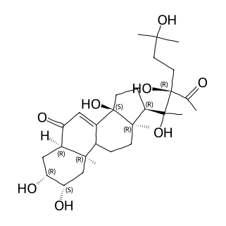 CC(=O)[C@@](O)(CCC(C)(C)O)C(C)(O)[C@@H]1CC[C@@]2(O)C3=CC(=O)[C@@H]4C[C@@H](O)[C@@H](O)C[C@]4(C)C3CC[C@]12C